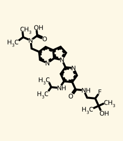 CC(C)Nc1cc(-n2ccc3cc(CN(C(=O)O)C(C)C)cnc32)ncc1C(=O)NCC(F)C(C)(C)O